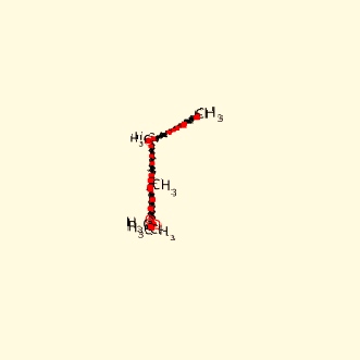 CCCCCCCCCCCCCCCCCC[C@H](C)[C@H](CCCCCCCCCCCCCCCC[C@H](C)[C@H]1C[C@@H]1CCCCCCCCCOC(=O)C(C)(C)C)OC